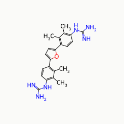 Cc1c(NC(=N)N)ccc(-c2ccc(-c3ccc(NC(=N)N)c(C)c3C)o2)c1C